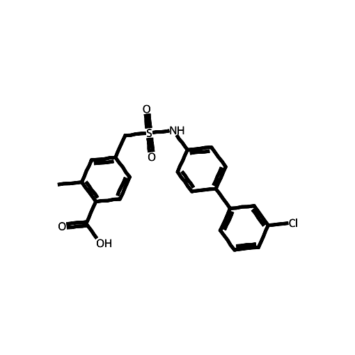 Cc1cc(CS(=O)(=O)Nc2ccc(-c3cccc(Cl)c3)cc2)ccc1C(=O)O